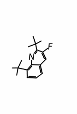 CC(C)(C)c1nc2c(C(C)(C)C)cccc2cc1F